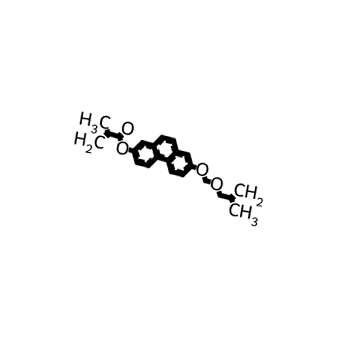 C=C(C)COCOc1ccc2c(ccc3cc(OC(=O)C(=C)C)ccc32)c1